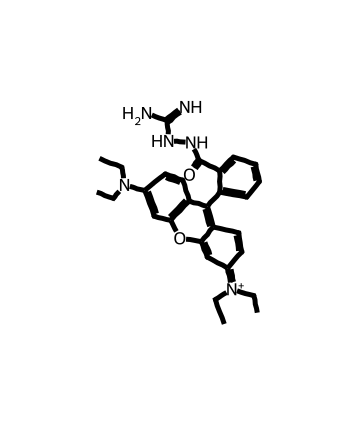 CCN(CC)c1ccc2c(-c3ccccc3C(=O)NNC(=N)N)c3ccc(=[N+](CC)CC)cc-3oc2c1